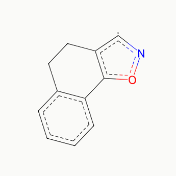 [c]1noc2c1CCc1ccccc1-2